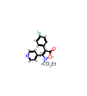 CCOC(=O)n1oc(=O)c(-c2ccc(F)cc2)c1-c1ccncc1